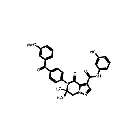 COc1cccc(C(=O)c2ccc(N3C(=O)c4c(C(=O)Nc5cccc(C#N)c5)cnn4C[C@]3(C)[SiH3])cc2)c1